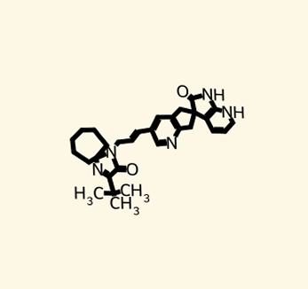 CC(C)(C)C1=NC2(CCCCCC2)N(C/C=C/c2cnc3c(c2)CC2(C3)C(=O)NC3=C2C=CCN3)C1=O